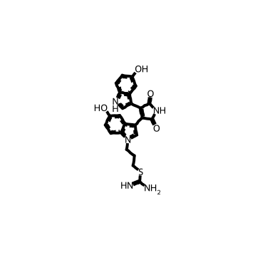 N=C(N)SCCCn1cc(C2=C(c3c[nH]c4ccc(O)cc34)C(=O)NC2=O)c2cc(O)ccc21